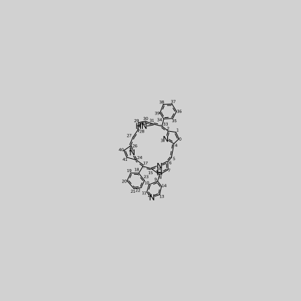 C1=Cc2nc1cc1cc(-c3ccncc3)c([nH]1)c(-c1ccccc1)c1nc(cc3ccc([nH]3)c2-c2ccccc2)C=C1